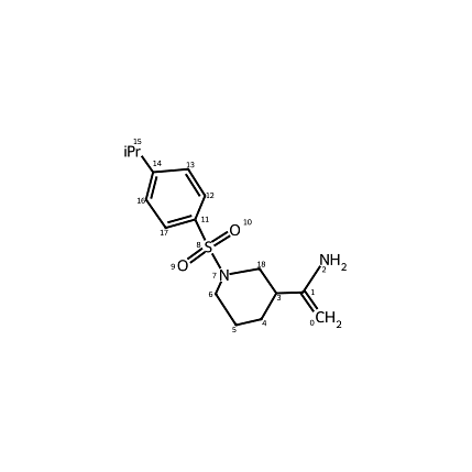 C=C(N)C1CCCN(S(=O)(=O)c2ccc(C(C)C)cc2)C1